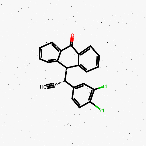 C#C[C@@H](c1ccc(Cl)c(Cl)c1)C1c2ccccc2C(=O)c2ccccc21